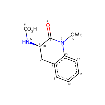 CON1C(=O)[C@H](NC(=O)O)Cc2ccccc21